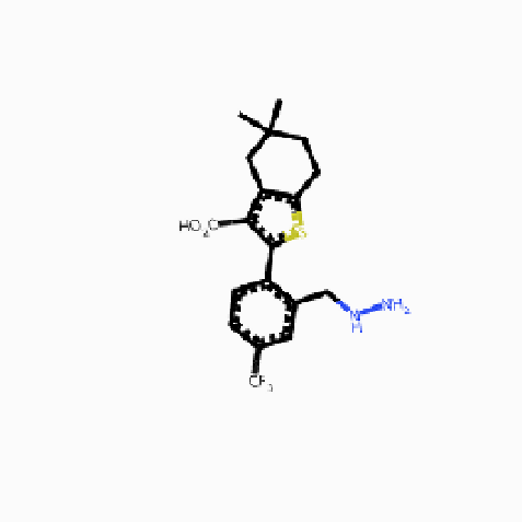 CC1(C)CCc2sc(-c3ccc(C(F)(F)F)cc3CNN)c(C(=O)O)c2C1